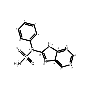 NS(=O)(=O)N(c1ccccc1)c1nc2cncnc2[nH]1